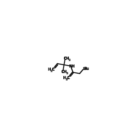 C=CC(C)(C)NC(=C)CC(C)(C)C